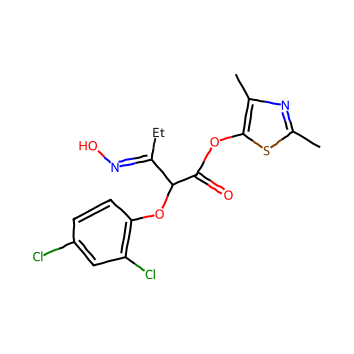 CCC(=NO)C(Oc1ccc(Cl)cc1Cl)C(=O)Oc1sc(C)nc1C